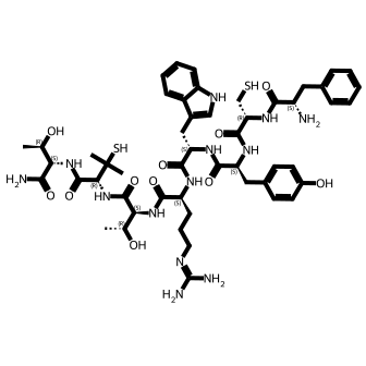 C[C@@H](O)[C@H](NC(=O)[C@@H](NC(=O)[C@@H](NC(=O)[C@H](CCCN=C(N)N)NC(=O)[C@H](Cc1c[nH]c2ccccc12)NC(=O)[C@H](Cc1ccc(O)cc1)NC(=O)[C@H](CS)NC(=O)[C@@H](N)Cc1ccccc1)[C@@H](C)O)C(C)(C)S)C(N)=O